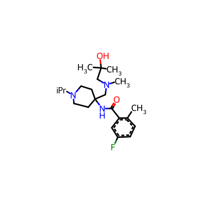 Cc1ccc(F)cc1C(=O)NC1(CN(C)CC(C)(C)O)CCN(C(C)C)CC1